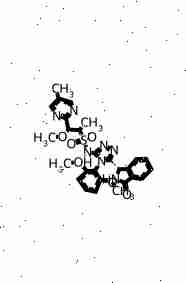 COc1cccc(OC)c1-n1c(NS(=O)(=O)C(C)C(OC)c2ncc(C)cn2)nnc1[C@H]1NC(=O)c2ccccc21